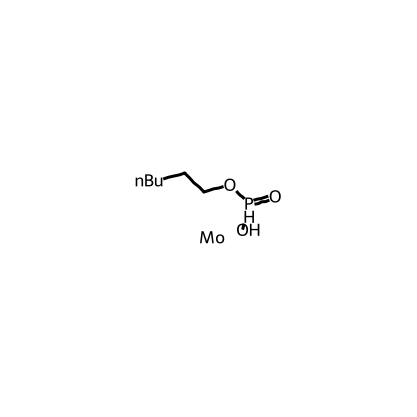 CCCCCCO[PH](=O)O.[Mo]